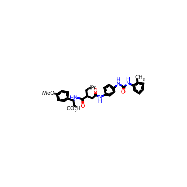 COc1ccc(C(CC(=O)O)NC(=O)C(CC(=O)Nc2ccc(NC(=O)Nc3ccccc3C)cc2)CC(C)C)cc1